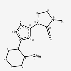 COC1CCCCC1c1nnc(N2CCN(C)C2=O)s1